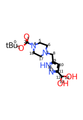 CC(C)(C)OC(=O)N1CCN(Cc2cc(C(O)O)n[nH]2)CC1